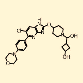 OC1CC(C(O)N2CCC(Oc3nc4nc(-c5ccc(N6CCOCC6)cc5)c(Cl)cc4[nH]3)CC2)C1